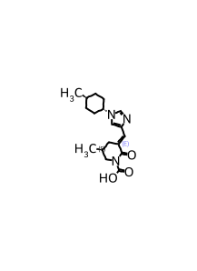 C[C@H]1C/C(=C\c2cn([C@H]3CC[C@H](C)CC3)cn2)C(=O)N(C(=O)O)C1